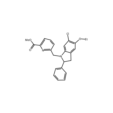 CCOc1cc2c(cc1Cl)N(Cc1cccc(C(=O)OC)n1)C(c1ccccc1)C2